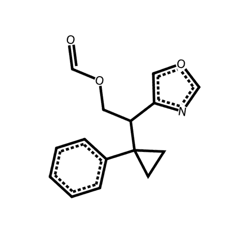 O=COCC(c1cocn1)C1(c2ccccc2)CC1